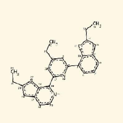 CCc1cc(-c2cccc3cc(CC)sc23)nc(-c2nccc3cc(CC)sc23)c1